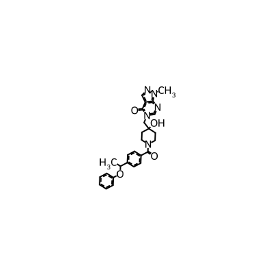 CC(Oc1ccccc1)c1ccc(C(=O)N2CCC(O)(Cn3cnc4c(cnn4C)c3=O)CC2)cc1